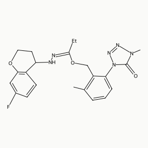 CCC(=NNC1CCOc2cc(F)ccc21)OCc1c(C)cccc1-n1nnn(C)c1=O